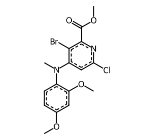 COC(=O)c1nc(Cl)cc(N(C)c2ccc(OC)cc2OC)c1Br